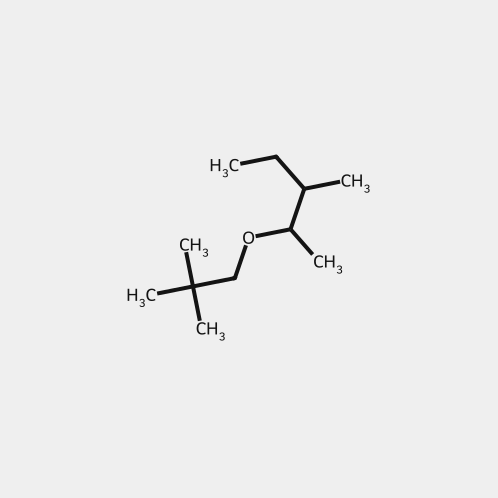 CCC(C)C(C)OCC(C)(C)C